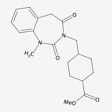 COC(=O)C1CCC(CN2C(=O)Cc3ccccc3N(C)C2=O)CC1